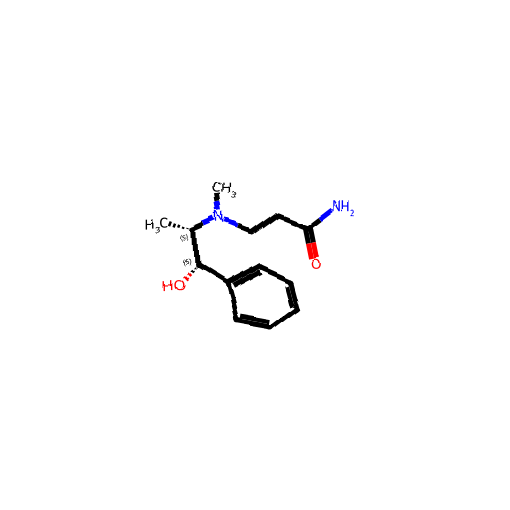 C[C@@H]([C@@H](O)c1ccccc1)N(C)CCC(N)=O